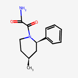 C[C@H]1CCN(C(=O)C(N)=O)[C@@H](c2ccccc2)C1